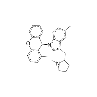 Cc1ccc2c(c1)c(C[C@@H]1CCCN1C)cn2[C@@H]1c2ccccc2Oc2cccc(C)c21